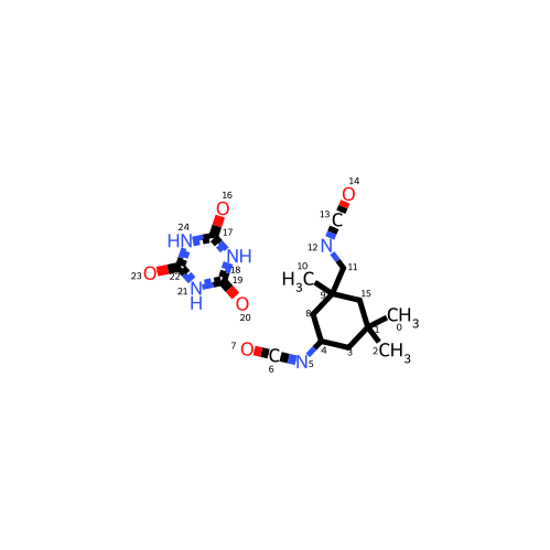 CC1(C)CC(N=C=O)CC(C)(CN=C=O)C1.O=c1[nH]c(=O)[nH]c(=O)[nH]1